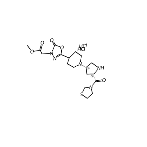 COC(=O)Cn1nc(C2CCN([C@@H]3CN[C@H](C(=O)N4CCSC4)C3)CC2)oc1=O.Cl.Cl